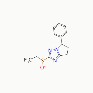 [O-][S+](CC(F)(F)F)c1nc2n(n1)C(c1ccccc1)CC2